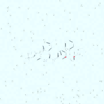 CC(=O)CC(C(=O)N1C2CCC1CC(Cc1cccc(NC(=O)Nc3cc(C(C)(C)C)nn3-c3ccc(C)cc3)c1)C2)c1ccccc1